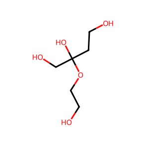 OCCOC(O)(CO)CCO